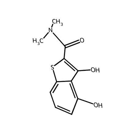 CN(C)C(=O)c1sc2cccc(O)c2c1O